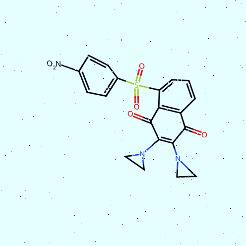 O=C1C(N2CC2)=C(N2CC2)C(=O)c2c1cccc2S(=O)(=O)c1ccc([N+](=O)[O-])cc1